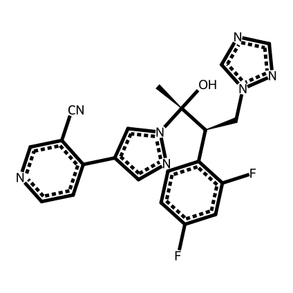 C[C@@](O)([C@@H](Cn1cncn1)c1ccc(F)cc1F)n1cc(-c2ccncc2C#N)cn1